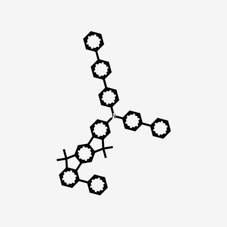 CC1(C)c2cc(N(c3ccc(-c4ccccc4)cc3)c3ccc(-c4ccc(-c5ccccc5)cc4)cc3)ccc2-c2cc3c(cc21)-c1c(-c2ccccc2)cccc1C3(C)C